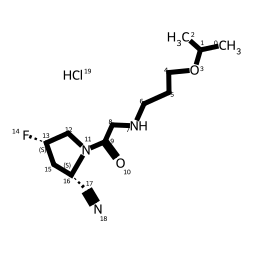 CC(C)OCCCNCC(=O)N1C[C@@H](F)C[C@H]1C#N.Cl